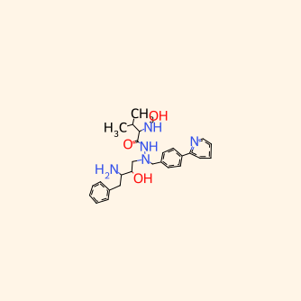 CC(C)C(NO)C(=O)NN(Cc1ccc(-c2ccccn2)cc1)CC(O)C(N)Cc1ccccc1